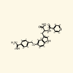 N=C(N)c1ccc(COc2ccc3[nH]cc(CC(NC(=O)c4ccncc4)C(=O)O)c3c2)cc1